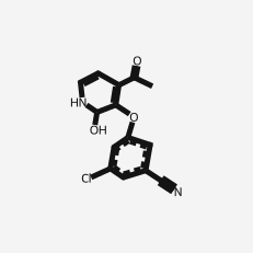 CC(=O)C1=C(Oc2cc(Cl)cc(C#N)c2)C(O)NC=C1